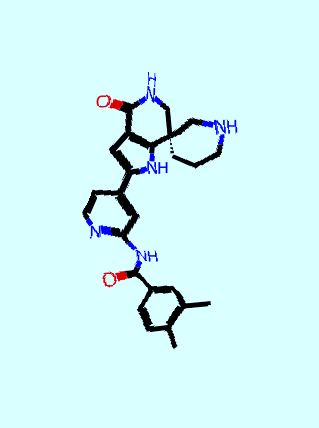 Cc1ccc(C(=O)Nc2cc(-c3cc4c([nH]3)[C@@]3(CCCNC3)CNC4=O)ccn2)cc1C